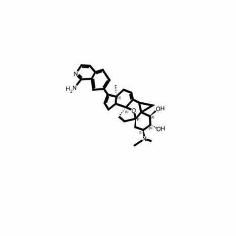 CN(C)[C@H]1C[C@@]23CC[C@@]4(O2)C(=CC[C@]2(C)C(c5ccc6ccnc(N)c6c5)=CCC24)C2CC23[C@@H](O)[C@@H]1O